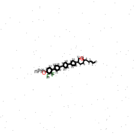 C/C=C/CCC1CCC(c2ccc(-c3ccc(-c4ccc(-c5ccc(OCCC)c(F)c5F)cc4)cc3)cc2)CO1